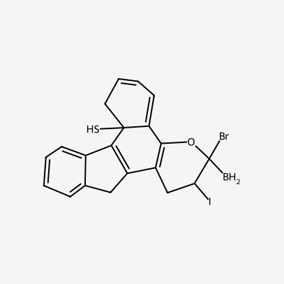 BC1(Br)OC2=C(CC1I)C1=C(c3ccccc3C1)C1(S)CC=CC=C21